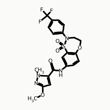 COc1cc(C(=O)Nc2ccc3c(c2)S(=O)(=O)N(c2ccc(C(F)(F)F)cc2)CCO3)n(C)n1